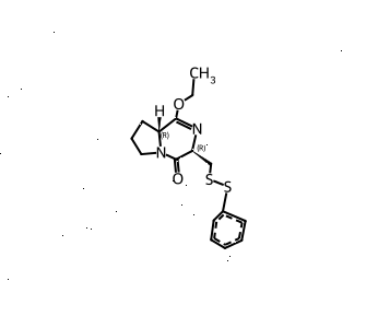 CCOC1=N[C@@H](CSSc2ccccc2)C(=O)N2CCC[C@H]12